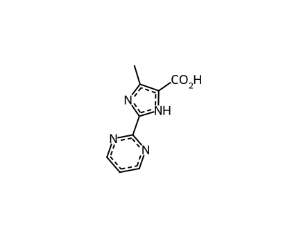 Cc1nc(-c2ncccn2)[nH]c1C(=O)O